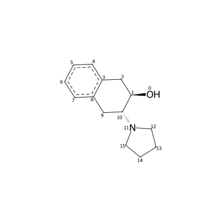 O[C@@H]1Cc2ccccc2C[C@H]1N1CCCC1